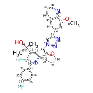 COc1cc(-c2cn(C[C@]3(c4cc(C(C)(C)O)c(F)c(-c5ccc(F)cc5)n4)CCCO3)nn2)cc2cccnc12